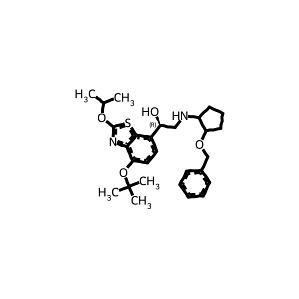 CC(C)Oc1nc2c(OC(C)(C)C)ccc([C@@H](O)CNC3CCCC3OCc3ccccc3)c2s1